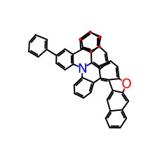 c1ccc(-c2ccc(N(c3ccccc3-c3cccc4oc5cc6ccccc6cc5c34)c3cccc4ccccc34)c(-c3ccccc3)c2)cc1